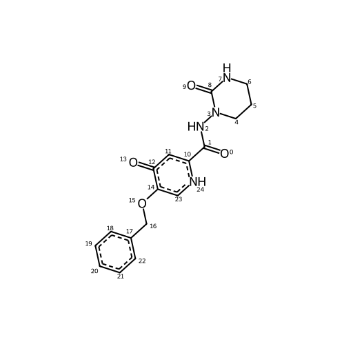 O=C(NN1CCCNC1=O)c1cc(=O)c(OCc2ccccc2)c[nH]1